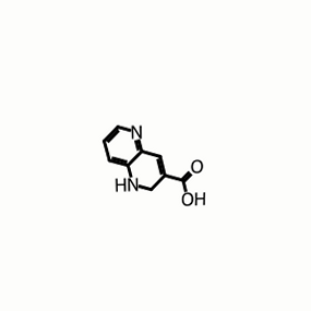 O=C(O)C1=Cc2ncccc2NC1